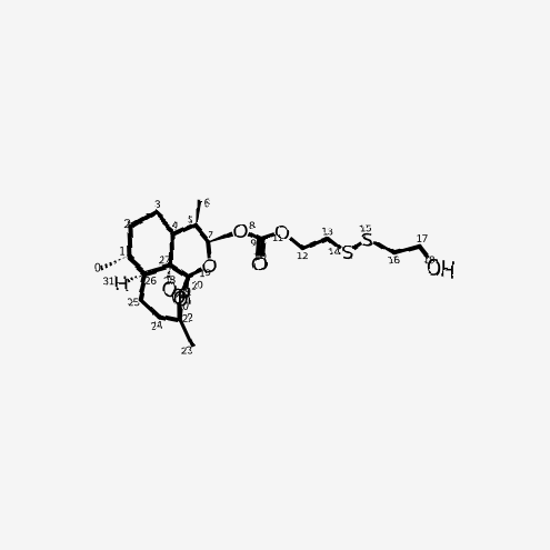 C[C@@H]1CCC2[C@@H](C)[C@@H](OC(=O)OCCSSCCO)O[C@@H]3OC4(C)CC[C@@H]1[C@@]23OO4